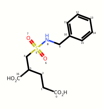 O=C(O)CCC(CS(=O)(=O)NCc1ccccc1)C(=O)O